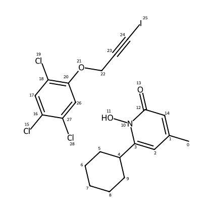 Cc1cc(C2CCCCC2)n(O)c(=O)c1.Clc1cc(Cl)c(OCC#CI)cc1Cl